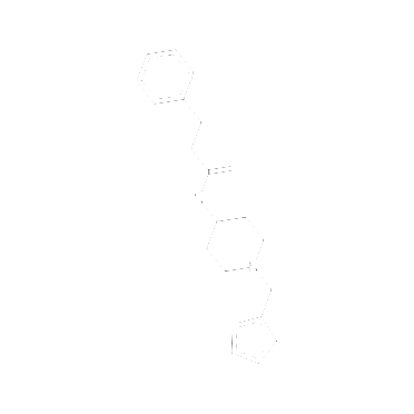 O=C(CCc1ccccc1)NC1CCN(Cc2cccs2)CC1